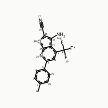 Cc1ccc(-c2cc(C(F)(F)F)c3c(N)c(C#N)oc3n2)cc1